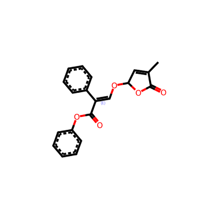 CC1=CC(O/C=C(/C(=O)Oc2ccccc2)c2ccccc2)OC1=O